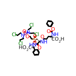 O=C(CC[C@H](NC(=O)Oc1ccccc1)C(=O)O)N[C@@H](CS(=O)(=O)CCOP(=O)(N(CCCl)CCCl)N(CCCl)CCCl)C(=O)N[C@@H](C(=O)O)c1ccccc1